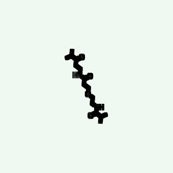 CC(C)C(=O)CCNC(=O)CCOCCNC(=O)C(C)C